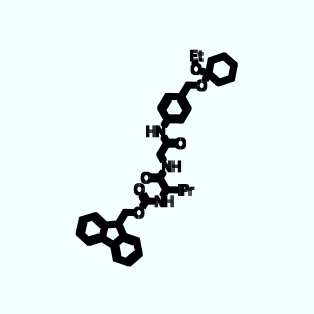 CCOC1(OCc2ccc(NC(=O)CNC(=O)C(NC(=O)OCC3c4ccccc4-c4ccccc43)C(C)C)cc2)CCCCC1